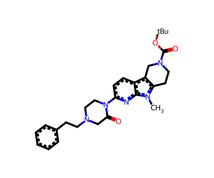 Cn1c2c(c3ccc(N4CCN(CCc5ccccc5)CC4=O)nc31)CN(C(=O)OC(C)(C)C)CC2